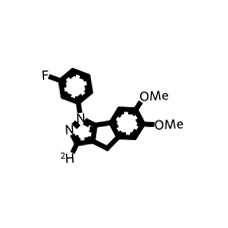 [2H]c1nn(-c2cccc(F)c2)c2c1Cc1cc(OC)c(OC)cc1-2